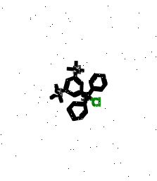 C[Si](C)(C)c1cc([Si](C)(C)C)cc([Si](Cl)(c2ccccc2)c2ccccc2)c1